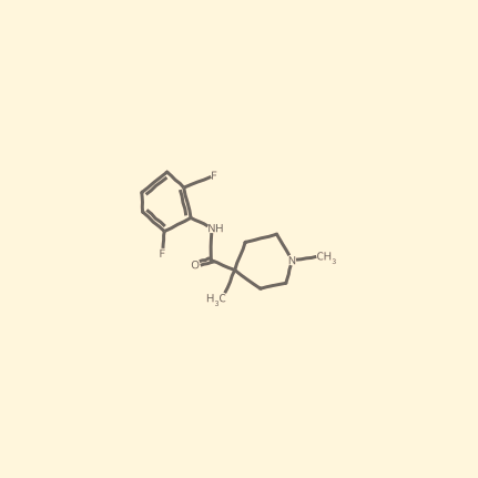 CN1CCC(C)(C(=O)Nc2c(F)cccc2F)CC1